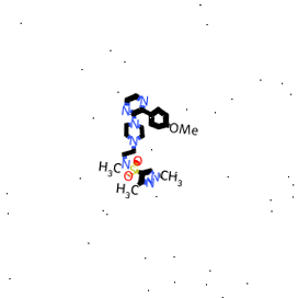 COc1ccc(-c2nccnc2N2CCN(CCN(C)S(=O)(=O)c3cn(C)nc3C)CC2)cc1